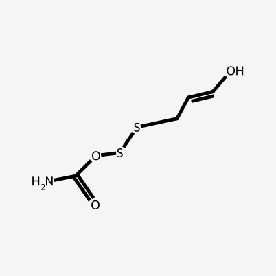 NC(=O)OSSCC=CO